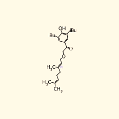 CCC(C)c1cc(C(=O)COC/C=C(\C)CCC=C(C)C)cc(C(C)CC)c1O